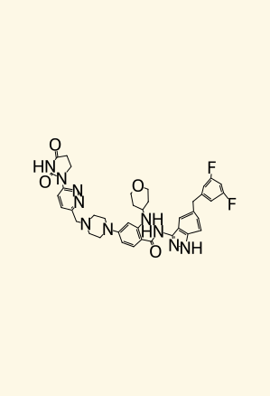 O=C1CCN(c2ccc(CN3CCN(c4ccc(C(=O)Nc5n[nH]c6ccc(Cc7cc(F)cc(F)c7)cc56)c(NC5CCOCC5)c4)CC3)nn2)C(=O)N1